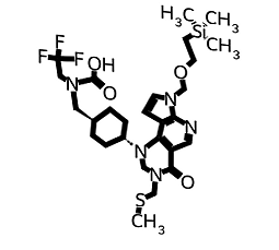 CSCN1CN([C@H]2CC[C@H](CN(CC(F)(F)F)C(=O)O)CC2)c2c(cnc3c2ccn3COCC[Si](C)(C)C)C1=O